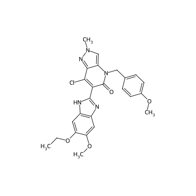 CCOc1cc2[nH]c(-c3c(Cl)c4nn(C)cc4n(Cc4ccc(OC)cc4)c3=O)nc2cc1OC